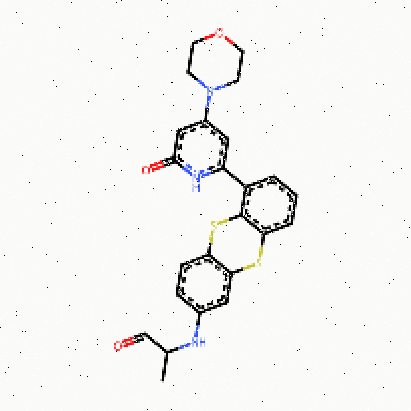 CC(C=O)Nc1ccc2c(c1)Sc1cccc(-c3cc(N4CCOCC4)cc(=O)[nH]3)c1S2